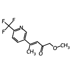 COCC(=O)C=C(C)c1ccc(C(F)(F)F)nc1